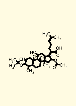 CC(=O)OC1CC2(C)C(CC(O)C3C4(C)CCC(OC(C)(C)C)C(C)C4CCC32C)/C1=C(\CCC=C(C)C)C(=O)O